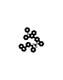 c1ccc(-n2c3ccccc3c3cc(-c4ccc5c6ccccc6n(-c6nc(-c7cccc(-c8cccc9ccccc89)c7)c7ccccc7n6)c5c4)c4ccccc4c32)cc1